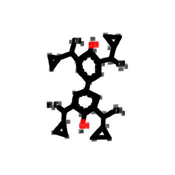 CC(c1cc(-c2cc(C(C)C3CC3)c(O)c(C(C)C3CC3)c2)cc(C(C)C2CC2)c1O)C1CC1